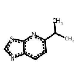 CC(C)c1ccc2ncsc2n1